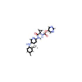 Cc1ccc(Nc2ccc(N(C)C(=O)C3(NC(=O)Oc4cncnc4)CC3)nc2)c(C(F)(F)F)c1